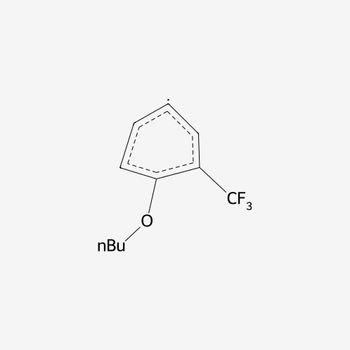 CCCCOc1cc[c]cc1C(F)(F)F